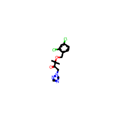 CC(C)(OCc1ccc(Cl)cc1Cl)C(=O)Cn1cncn1